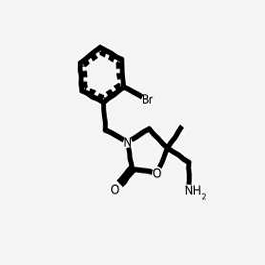 CC1(CN)CN(Cc2ccccc2Br)C(=O)O1